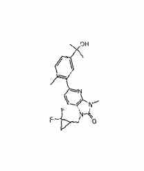 Cc1ccc(C(C)(C)O)cc1-c1ccc2c(n1)n(C)c(=O)n2CC1CC1(F)F